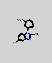 [C-]#[N+]c1ccc2c(c1)nc(C)n2-c1cccc(C(=O)OCC)c1